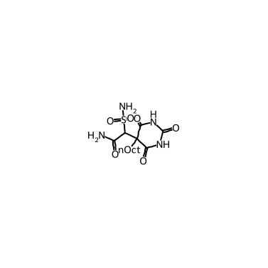 CCCCCCCCC1(C(C(N)=O)S(N)(=O)=O)C(=O)NC(=O)NC1=O